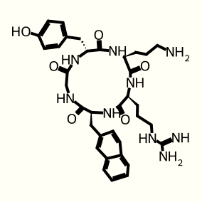 N=C(N)NCCC[C@@H]1NC(=O)[C@H](CCCN)NC(=O)[C@@H](Cc2ccc(O)cc2)NC(=O)CNC(=O)[C@H](Cc2ccc3ccccc3c2)NC1=O